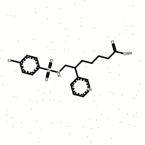 COC(=O)CCCCC(CNS(=O)(=O)c1ccc(Cl)cc1)c1cccnc1